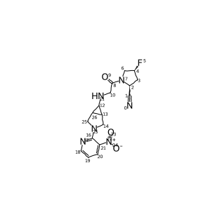 N#C[C@@H]1C[C@H](F)CN1C(=O)CNC1C2CN(c3ncccc3[N+](=O)[O-])CC21